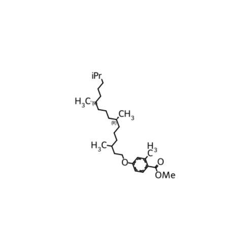 COC(=O)c1ccc(OCCC(C)CCC[C@H](C)CCC[C@H](C)CCCC(C)C)cc1C